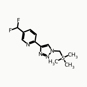 CS(C)(C)Cn1cc(-c2ccc(C(F)F)cn2)nn1